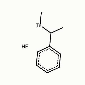 C[Te]C(C)c1ccccc1.F